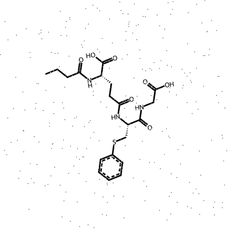 CCCC(=O)N[C@@H](CCC(=O)N[C@@H](CSc1ccccc1)C(=O)NCC(=O)O)C(=O)O